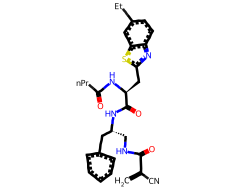 C=C(C#N)C(=O)NC[C@H](Cc1ccccc1)NC(=O)[C@H](Cc1nc2ccc(CC)cc2s1)NC(=O)CCC